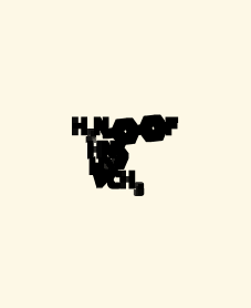 CC1(N/C=C\C(=N)c2cc(-c3ccc(F)cc3)ccc2CN)CC1